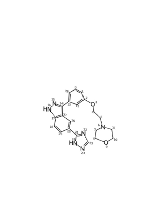 c1cc(OCCN2CCOCC2)cc(-c2n[nH]c3ccc(-c4ncn[nH]4)cc23)c1